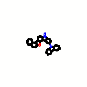 c1ccc2c(c1)ccc1oc3c(ccc4[nH]c5ccc(-n6c7ccccc7c7ccccc76)cc5c43)c12